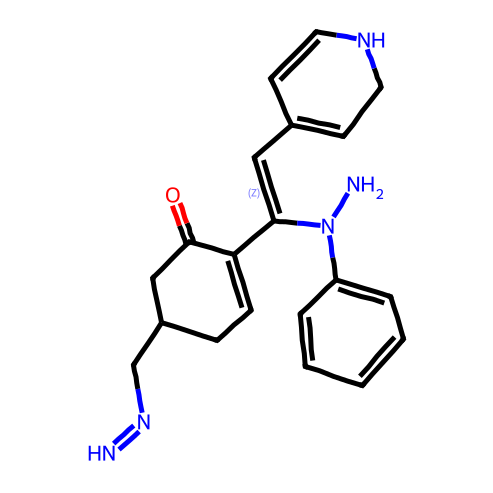 N=NCC1CC=C(/C(=C/C2=CCNC=C2)N(N)c2ccccc2)C(=O)C1